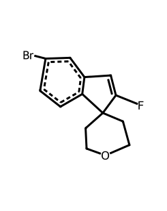 FC1=Cc2cc(Br)ccc2C12CCOCC2